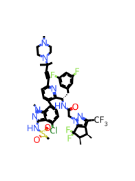 C[C@@H]1c2c(C(F)(F)F)nn(CC(=O)N[C@@H](Cc3cc(F)cc(F)c3)c3nc(C#CC(C)(C)N4CCN(C)CC4)ccc3-c3ccc(Cl)c4c(NS(C)(=O)=O)nn(C)c34)c2C(F)(F)[C@@H]1C